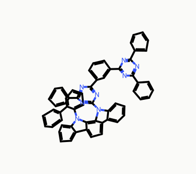 c1ccc(-c2nc(-c3ccccc3)nc(-c3cccc(-c4nc(-c5ccccc5)nc(-n5c6ccccc6c6ccc7c8ccccc8n(-c8ccccc8-c8ccccc8)c7c65)n4)c3)n2)cc1